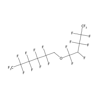 FC(C(F)(F)OCC(F)(F)C(F)(F)C(F)(F)C(F)(F)C(F)(F)F)C(F)(F)C(F)(F)C(F)(F)F